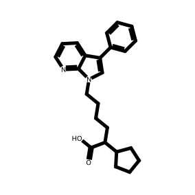 O=C(O)C(CCCCn1cc(-c2ccccc2)c2cccnc21)C1CCCC1